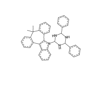 CC1(C)c2ccccc2-c2c(n(C3NC(c4ccccc4)NC(c4ccccc4)N3)c3ccccc23)-c2ccccc21